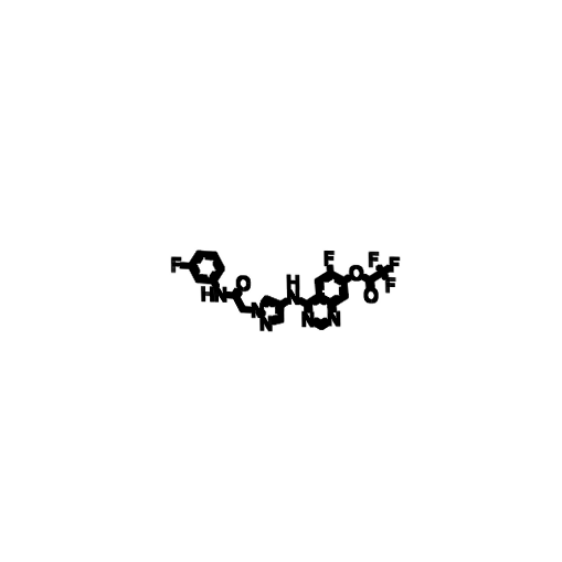 O=C(Cn1cc(Nc2ncnc3cc(OC(=O)C(F)(F)F)c(F)cc23)cn1)Nc1cccc(F)c1